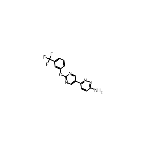 Nc1ccc(-c2cnc(Oc3cccc(C(F)(F)F)c3)nc2)nn1